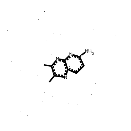 Cc1nc2ccc(N)nc2nc1C